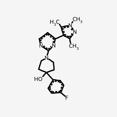 Cc1nn(C)c(C)c1-c1ccnc(N2CCC(O)(c3ccc(F)cc3)CC2)n1